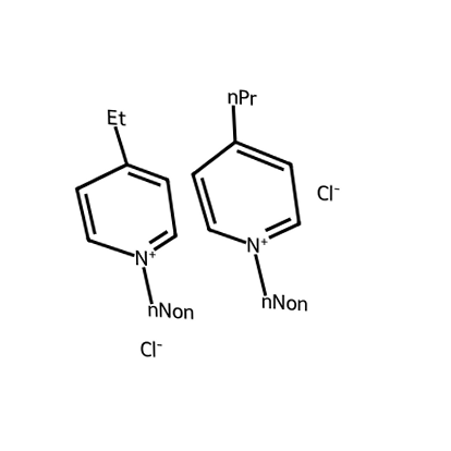 CCCCCCCCC[n+]1ccc(CC)cc1.CCCCCCCCC[n+]1ccc(CCC)cc1.[Cl-].[Cl-]